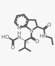 CCNC(=O)C1Cc2cccnc2N1C(=O)[C@@H](NC(=O)O)C(C)C